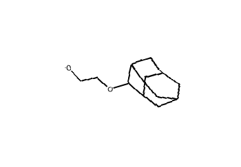 [O]CCOC1C2CC3CC(C2)CC1C3